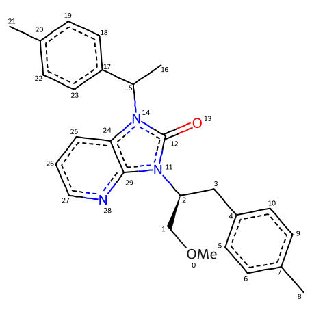 COC[C@H](Cc1ccc(C)cc1)n1c(=O)n(C(C)c2ccc(C)cc2)c2cccnc21